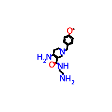 COc1ccc(CN2CCC(N)=C(C(=O)NCCN)C2)cc1